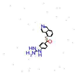 N=C(N)Nc1ccc(C(=O)Sc2cccc3cnccc23)cc1